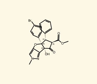 COC(=O)[C@H]1C(=O)[C@@]2(O)c3nn(C)cc3O[C@@]2(c2ccc(Br)cc2)[C@@H]1c1ccccc1